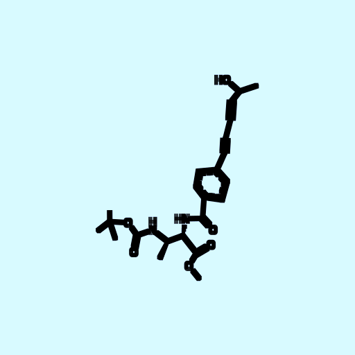 COC(=O)[C@@H](NC(=O)c1ccc(C#CC#CC(C)O)cc1)[C@@H](C)NC(=O)OC(C)(C)C